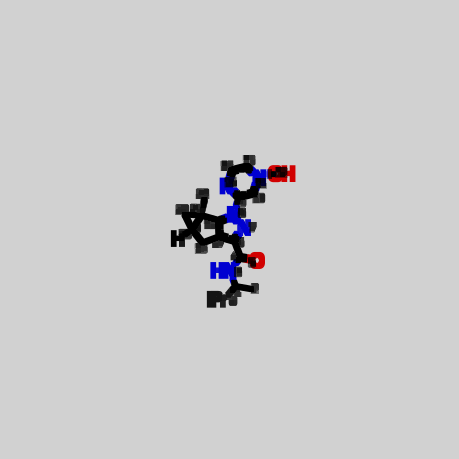 CC(C)C(C)NC(=O)c1nn(-c2c[n+](O)ccn2)c2c1C[C@@H]1C[C@]21C